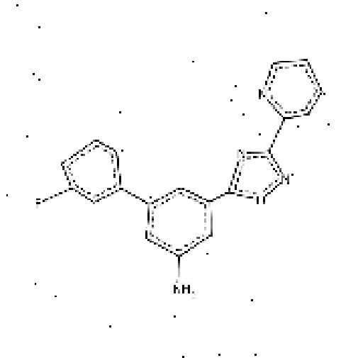 Nc1cc(-c2cccc(F)c2)cc(-c2nc(-c3ccccn3)no2)c1